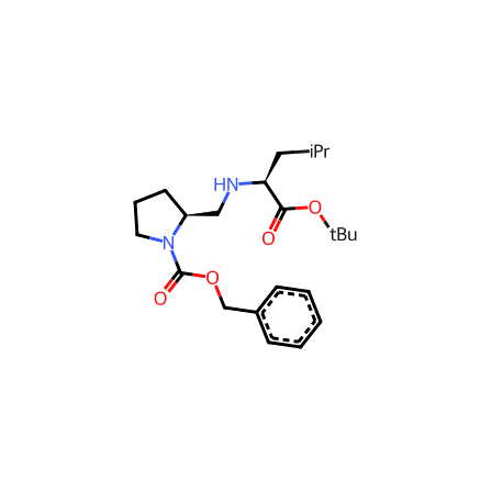 CC(C)C[C@H](NC[C@@H]1CCCN1C(=O)OCc1ccccc1)C(=O)OC(C)(C)C